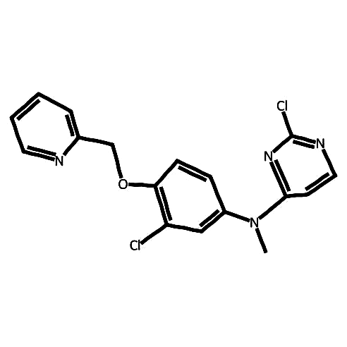 CN(c1ccc(OCc2ccccn2)c(Cl)c1)c1ccnc(Cl)n1